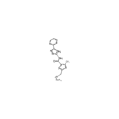 COCc1nc(C)c(C(=O)Nc2nnc(-c3ccccn3)[nH]2)s1